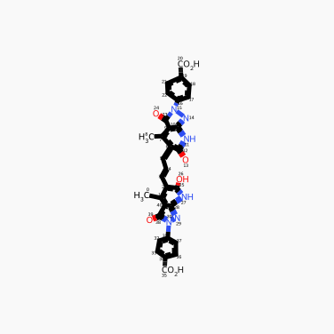 Cc1c(C=CC=c2c(C)c3c([nH]c2=O)=NN(c2ccc(C(=O)O)cc2)C3=O)c(O)[nH]c2nn(-c3ccc(C(=O)O)cc3)c(=O)c1-2